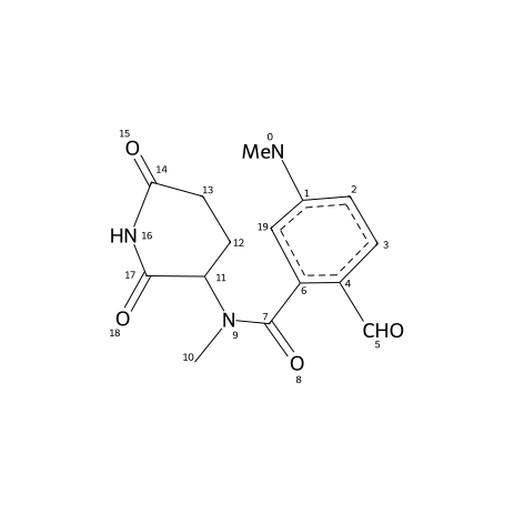 CNc1ccc(C=O)c(C(=O)N(C)C2CCC(=O)NC2=O)c1